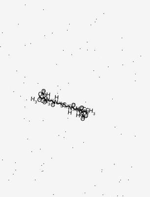 CC1(C)COC(=O)OC1C(=O)NCCC(=O)NCCSSCCNC(=O)CCNC(=O)C1OC(=O)OCC1(C)C